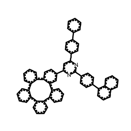 c1ccc(-c2ccc(-c3cc(-c4ccc5c6ccccc6c6ccccc6c6ccccc6c6ccccc6c5c4)nc(-c4ccc(-c5cccc6ccccc56)cc4)n3)cc2)cc1